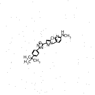 CNc1ccc(Cn2nc(-c3nc(-c4ccc(C(C)(C)C)cc4)no3)cc2C)cn1